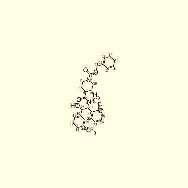 CN(C(=O)C1CCN(C(=O)OCc2ccccc2)CC1)C(c1cccnc1F)C(O)c1cccc(C(F)(F)F)c1